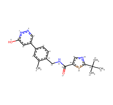 Cc1cc(-c2cnnc(O)c2)ccc1CNC(=O)c1cnc(C(C)(C)C)s1